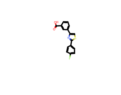 O=C(O)c1cccc(-c2csc(-c3ccc(F)cc3)n2)c1